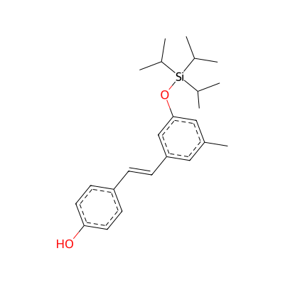 Cc1cc(/C=C/c2ccc(O)cc2)cc(O[Si](C(C)C)(C(C)C)C(C)C)c1